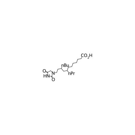 CCCCC(CCN1CC(=O)NC1=O)CC(CCC)CCCCCCC(=O)O